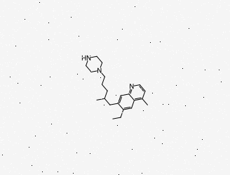 CCc1cc2c(C)ccnc2cc1CC(C)CCCN1CCNCC1